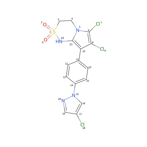 O=S1(=O)CCn2c(Cl)c(Cl)c(-c3ccc(-n4cc(Cl)cn4)cc3)c2N1